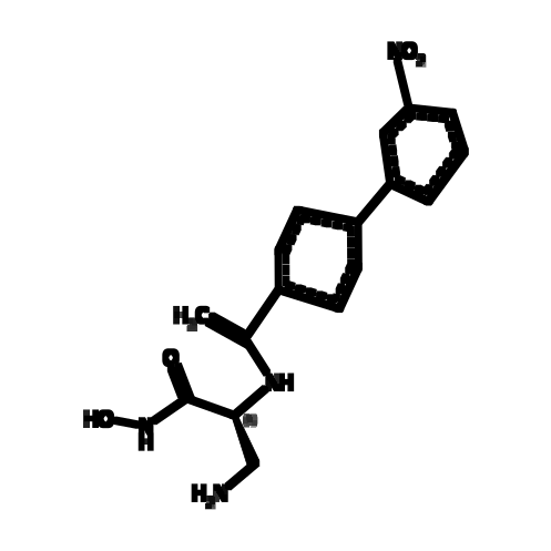 C=C(N[C@@H](CN)C(=O)NO)c1ccc(-c2cccc([N+](=O)[O-])c2)cc1